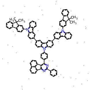 CC1(C)c2ccccc2-c2ccc(-n3c4ccccc4c4cc(-c5ccc6c(c5)c5cc(-c7ccc8c(c7)c7ccccc7n8-c7ccc8c(c7)C(C)(C)c7ccccc7-8)ccc5n6-c5ccc(-c6nc(-c7ccccc7)nc7c6-c6cccc8cccc-7c68)cc5)ccc43)cc21